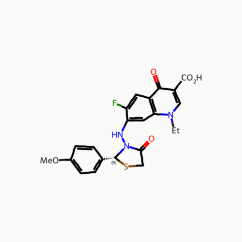 CCn1cc(C(=O)O)c(=O)c2cc(F)c(NN3C(=O)CS[C@@H]3c3ccc(OC)cc3)cc21